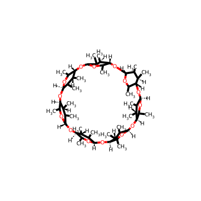 CC1C2OC(C)[C@@H](O[C@H]3OC(C)[C@@H](O[C@H]4OC(C)[C@@H](O[C@H]5OC(C)[C@@H](O[C@H]6OC(C)[C@@H](O[C@@H]7OC(C)[C@@H](O[C@H]8OC(C)[C@H](O2)[C@H](C)C8C)[C@H](C)C7C)[C@H](C)C6C)[C@H](C)C5C)[C@H](C)C4C)[C@H](C)C3C)[C@@H]1C